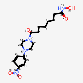 O=C(CCCCCCC(=O)N1CCN(c2ccc([N+](=O)[O-])cc2)CC1)NO